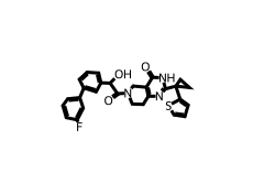 O=C(C(O)c1cccc(-c2cccc(F)c2)c1)N1CCc2nc(C3(c4cccs4)CC3)[nH]c(=O)c2C1